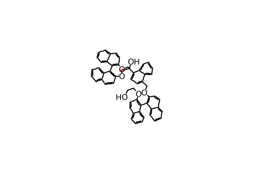 OCCOc1ccc2ccccc2c1-c1c(OCc2ccc(COc3ccc4ccccc4c3-c3c(OCCO)ccc4ccccc34)c3ccccc23)ccc2ccccc12